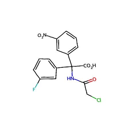 O=C(CCl)NC(C(=O)O)(c1cccc(F)c1)c1cccc([N+](=O)[O-])c1